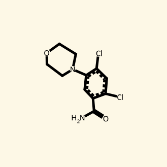 NC(=O)c1cc(N2CCOCC2)c(Cl)cc1Cl